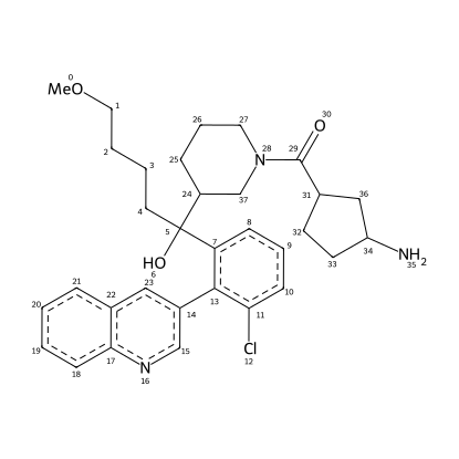 COCCCCC(O)(c1cccc(Cl)c1-c1cnc2ccccc2c1)C1CCCN(C(=O)C2CCC(N)C2)C1